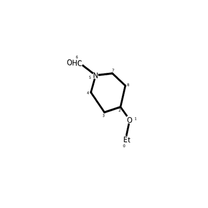 CCOC1CCN(C=O)CC1